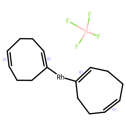 C1=C\CC/[C]([Rh]/[C]2=C/CC/C=C\CC2)=C\CC/1.F[B-](F)(F)F